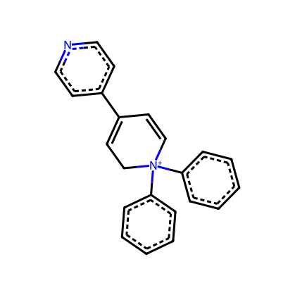 C1=C[N+](c2ccccc2)(c2ccccc2)CC=C1c1ccncc1